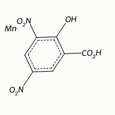 O=C(O)c1cc([N+](=O)[O-])cc([N+](=O)[O-])c1O.[Mn]